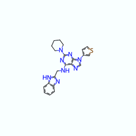 c1ccc2[nH]c(CNc3nc(N4CCCCC4)nc4c3ncn4-c3ccsc3)nc2c1